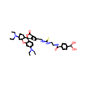 CCN(CC)c1ccc2c(c1)Oc1cc(N(CC)CC)ccc1C21OC(=O)c2cc(CNC(=S)NCCNC(=O)c3ccc(B(O)O)cc3)ccc21